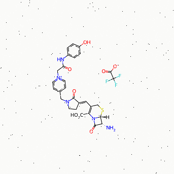 N[C@@H]1C(=O)N2C(C(=O)O)=C(C=C3CCN(Cc4cc[n+](CC(=O)Nc5ccc(O)cc5)cc4)C3=O)CS[C@H]12.O=C([O-])C(F)(F)F